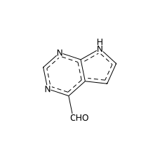 O=Cc1ncnc2[nH]ccc12